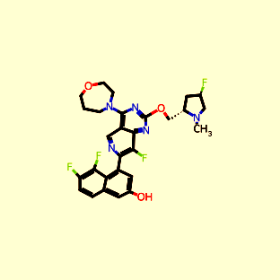 CN1C[C@H](F)C[C@H]1COc1nc(N2CCCOCC2)c2cnc(-c3cc(O)cc4ccc(F)c(F)c34)c(F)c2n1